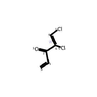 C=CC(=O)/C(Cl)=C/Cl